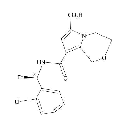 CC[C@@H](NC(=O)c1cc(C(=O)O)n2c1COCC2)c1ccccc1Cl